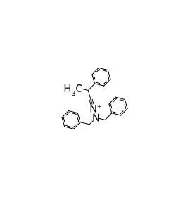 CC(C#[N+]N(Cc1ccccc1)Cc1ccccc1)c1ccccc1